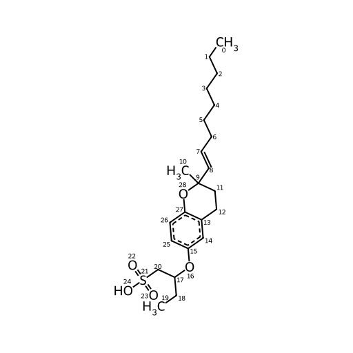 CCCCCCC/C=C/C1(C)CCc2cc(OC(CC)CS(=O)(=O)O)ccc2O1